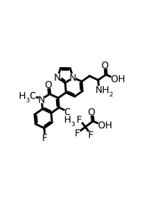 Cc1c(-c2ccc(CC(N)C(=O)O)n3ccnc23)c(=O)n(C)c2ccc(F)cc12.O=C(O)C(F)(F)F